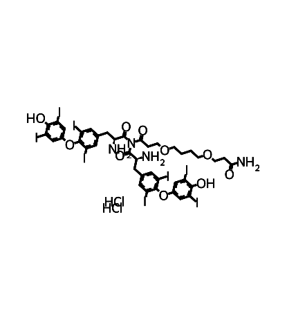 Cl.Cl.NC(=O)CCOCCCCOCCC(=O)N(C(=O)[C@@H](N)Cc1cc(I)c(Oc2cc(I)c(O)c(I)c2)c(I)c1)C(=O)[C@@H](N)Cc1cc(I)c(Oc2cc(I)c(O)c(I)c2)c(I)c1